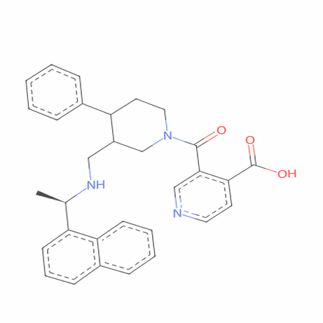 C[C@@H](NCC1CN(C(=O)c2cnccc2C(=O)O)CCC1c1ccccc1)c1cccc2ccccc12